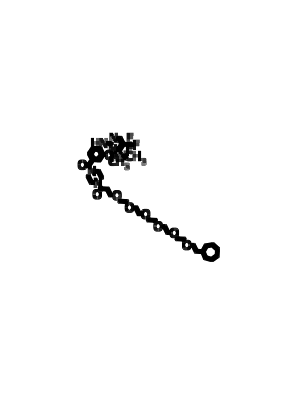 CNc1nc(Nc2ccc(C(=O)N3CCN(C(=O)CCOCCOCCOCCOCCOCCOCCC4CCCCCC4)CC3)cc2OC)ncc1C(F)(F)F